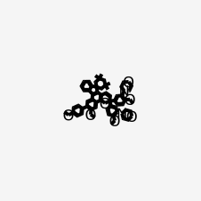 COc1ccc(-c2cc3c4c(c5c(c3cc2OC)OC(c2ccc(OC)c(N3CCOCC3)c2)(c2ccc(OC)c(N3CCOCC3)c2)C=C5)C2(CC(C)(C)CC(C)(C)C2)c2ccccc2-4)cc1